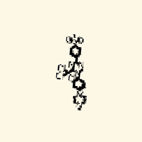 CN1CCN(c2ccc(N3CN=C(c4ccc(S(C)(=O)=O)cc4)N=C3C(Cl)(Cl)Cl)cc2)CC1